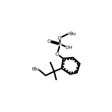 CCCCOP(=O)(O)Oc1ccccc1C(C)(C)CC(C)(C)C